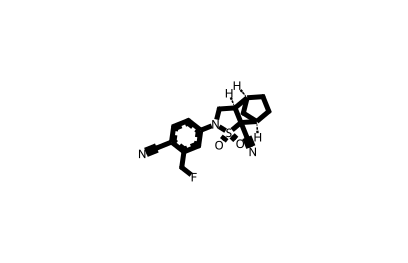 N#Cc1ccc(N2C[C@H]3[C@H]4CC[C@H](C4)C3(C#N)S2(=O)=O)cc1CF